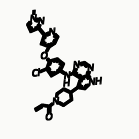 C=CC(=O)N1CCC(c2c[nH]c3ncnc(Nc4ccc(Oc5ccnc(-c6ccn(C)n6)c5)c(Cl)c4)c23)CC1